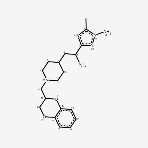 Cc1nc(C(N)CC2CCN(CC3COc4ccccc4O3)CC2)nn1N